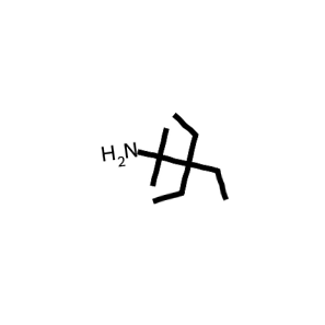 CCC(CC)(CC)C(C)(C)N